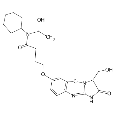 CC(O)N(C(=O)CCCOc1ccc2c(c1)CN1C(=N2)NC(=O)C1CO)C1CCCCC1